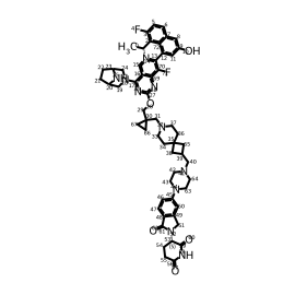 CCc1c(F)ccc2cc(O)cc(-c3ncc4c(N5CC6CCC(C5)N6)nc(OCC5(CN6CCC7(CC6)CC(CN6CCN(c8ccc9c(c8)CN([C@H]8CCC(=O)NC8=O)C9=O)CC6)C7)CC5)nc4c3F)c12